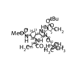 C=CC[C@H](NC(=O)OC(C)(C)C)c1nc(-c2ccc(NC(=O)OC)cc2N[C@H](CC=C)C(=O)O)cn1COCC[Si](C)(C)C